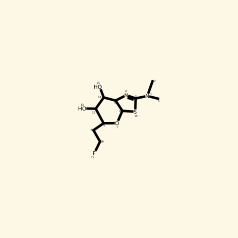 CN(C)C1=NC2C(OC(CCF)C(O)C2O)S1